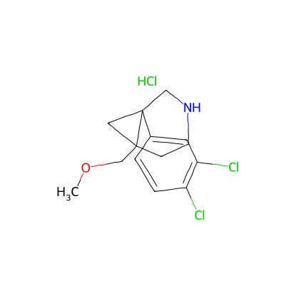 COCC12CCNCC1(c1ccc(Cl)c(Cl)c1)C2.Cl